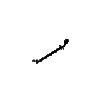 CC(C)(C)OC(=O)CCOCCOCCOCCOCCOCCOCCOCCOCCNC(=O)CCCC#Cc1cnc(S(C)(=O)=O)nc1